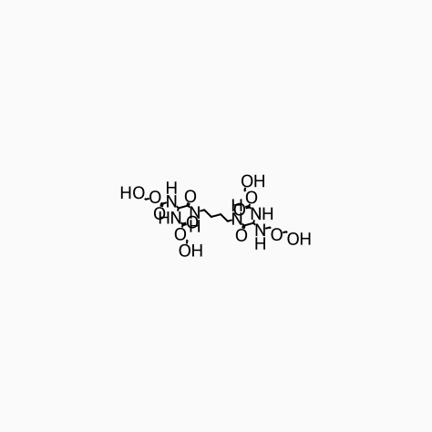 O=C(NC(NCOCO)C(=O)NCCCCNC(=O)C(NC(=O)OCO)NC(=O)OCO)OCO